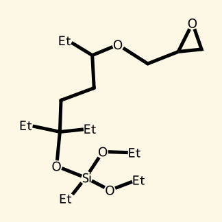 CCO[Si](CC)(OCC)OC(CC)(CC)CCC(CC)OCC1CO1